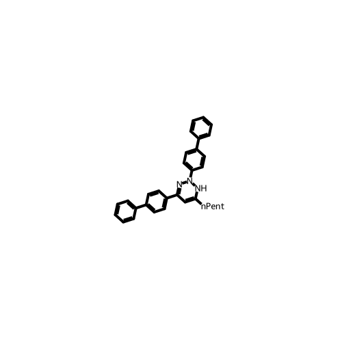 CCCCCC1=CC(c2ccc(-c3ccccc3)cc2)=NN(c2ccc(-c3ccccc3)cc2)N1